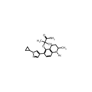 CC(=O)N1c2ccc(-c3cnn(C4CC4)c3)c(OC(C)(C)C(N)=O)c2CCC1C